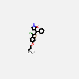 O=C(O)CCCOc1ccc2c(Cl)c(C(C3CCCCC3)C3CCNC3=O)sc2c1